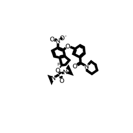 O=C(c1cccc(Oc2c([N+](=O)[O-])ccc3c2CC[C@H]3OP(=O)(N2CC2)N2CC2)c1)N1CCCCC1